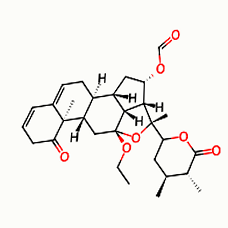 CCO[C@@]12C[C@H]3[C@@H](CC=C4C=CCC(=O)[C@@]43C)[C@@H]3C[C@H](OC=O)[C@@H]([C@@H]31)[C@](C)(C1C[C@H](C)[C@@H](C)C(=O)O1)O2